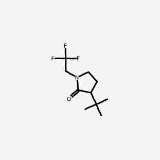 CC(C)(C)C1CCN(CC(F)(F)F)C1=O